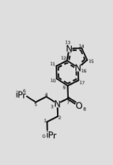 CC(C)CCN(CCC(C)C)C(=O)c1ccc2nccn2c1